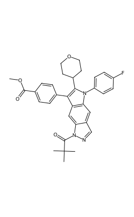 COC(=O)c1ccc(-c2c(C3CCOCC3)n(-c3ccc(F)cc3)c3cc4cnn(C(=O)C(C)(C)C)c4cc23)cc1